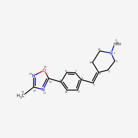 CCCCN1CCC(=Cc2ccc(-c3nc(C)no3)cc2)CC1